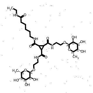 CCNC(=O)CCCCCNC(=O)C1C(C(=O)NCCO[C@@H]2O[C@@H](C)[C@@H](O)[C@@H](O)[C@@H]2O)C1C(=O)NCCO[C@@H]1O[C@@H](C)[C@@H](O)[C@@H](O)[C@@H]1O